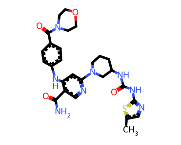 Cc1cnc(NC(=O)NC2CCCN(c3cc(Nc4ccc(C(=O)N5CCOCC5)cc4)c(C(N)=O)cn3)C2)s1